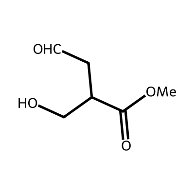 COC(=O)C(CO)CC=O